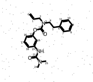 C=CCN(CCc1ccccc1)C(=O)Oc1cccc(NC(=O)N(C)C)c1